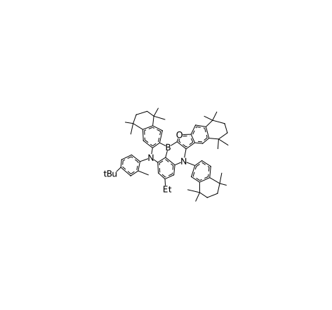 CCc1cc2c3c(c1)N(c1ccc4c(c1)C(C)(C)CCC4(C)C)c1c(oc4cc5c(cc14)C(C)(C)CCC5(C)C)B3c1cc3c(cc1N2c1ccc(C(C)(C)C)cc1C)C(C)(C)CCC3(C)C